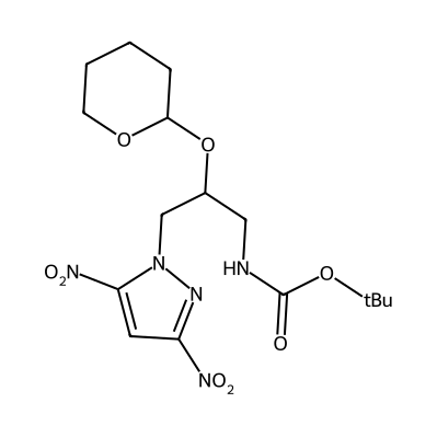 CC(C)(C)OC(=O)NCC(Cn1nc([N+](=O)[O-])cc1[N+](=O)[O-])OC1CCCCO1